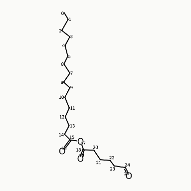 CCCCCCCCCCCCCCCC(=O)OC(=O)CCCCC=O